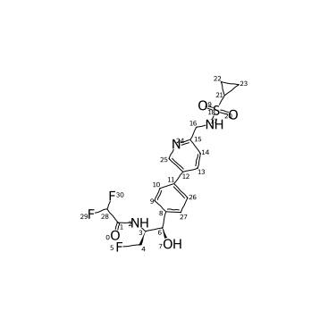 O=C(N[C@H](CF)[C@H](O)c1ccc(-c2ccc(CNS(=O)(=O)C3CC3)nc2)cc1)C(F)F